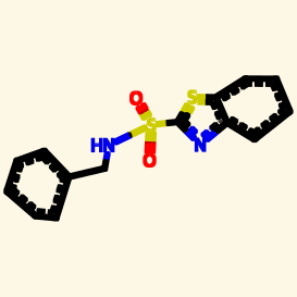 O=S(=O)(NCc1ccccc1)c1nc2ccccc2s1